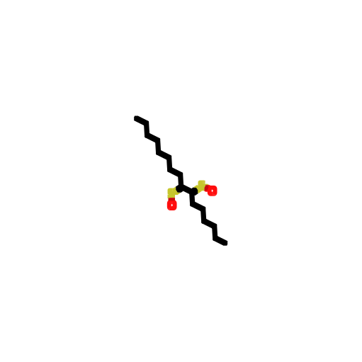 CCCCCCCCC(=S=O)C(CCCCCC)=S=O